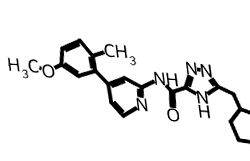 COc1ccc(C)c(-c2ccnc(NC(=O)c3nnc(CC4CCCCC4)[nH]3)c2)c1